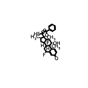 C[C@@H]1C[C@H]2[C@@H]3C[C@H](F)C4=CC(=O)C=C[C@]4(C)[C@@]3(F)[C@@H](O)C[C@]2(C)[C@@]1(OC(=O)c1ccccc1)C(=O)S